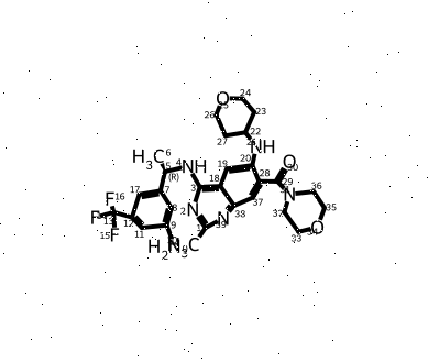 Cc1nc(N[C@H](C)c2cc(N)cc(C(F)(F)F)c2)c2cc(NC3CCOCC3)c(C(=O)N3CCOCC3)cc2n1